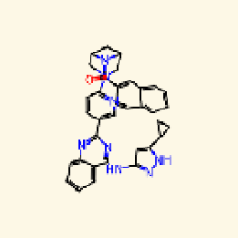 O=C(c1ccc2ccccc2c1)N1C2CC1CN(c1ccc(-c3nc(Nc4cc(C5CC5)[nH]n4)c4ccccc4n3)cn1)C2